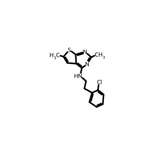 Cc1nc(NCCc2ccccc2Cl)c2cc(C)sc2n1